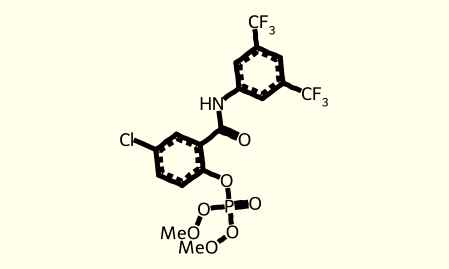 COOP(=O)(OOC)Oc1ccc(Cl)cc1C(=O)Nc1cc(C(F)(F)F)cc(C(F)(F)F)c1